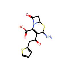 NC1SC2CC(=O)N2C(C(=O)O)=C1C(=O)Cc1cccs1